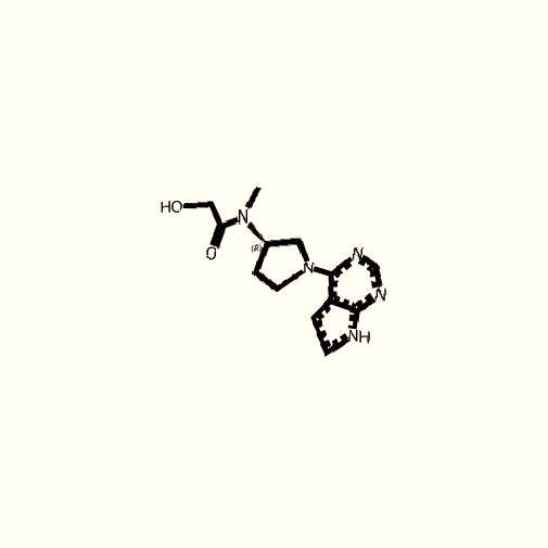 CN(C(=O)CO)[C@@H]1CCN(c2ncnc3[nH]ccc23)C1